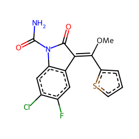 [CH2]OC(=C1C(=O)N(C(N)=O)c2cc(Cl)c(F)cc21)c1cccs1